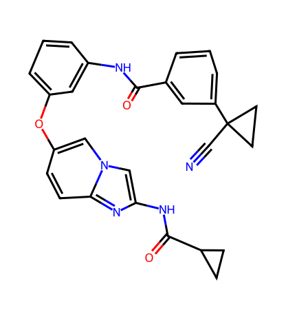 N#CC1(c2cccc(C(=O)Nc3cccc(Oc4ccc5nc(NC(=O)C6CC6)cn5c4)c3)c2)CC1